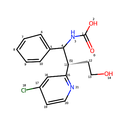 O=C(O)N[C](c1ccccc1)[C@H](CCO)c1cc(Cl)ccn1